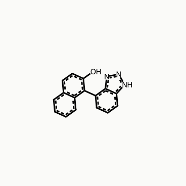 Oc1ccc2ccccc2c1-c1cccc2[nH]nnc12